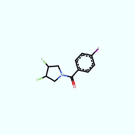 O=C(c1ccc(I)cc1)N1CC(F)C(F)C1